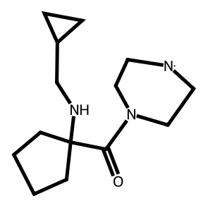 O=C(N1CC[N]CC1)C1(NCC2CC2)CCCC1